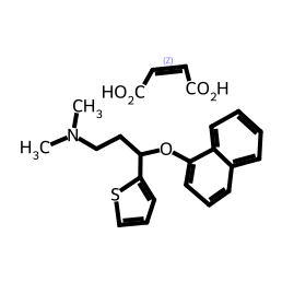 CN(C)CCC(Oc1cccc2ccccc12)c1cccs1.O=C(O)/C=C\C(=O)O